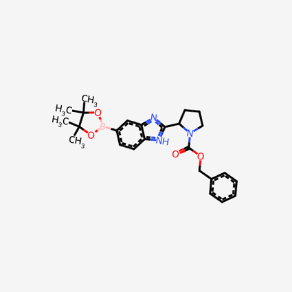 CC1(C)OB(c2ccc3[nH]c(C4CCCN4C(=O)OCc4ccccc4)nc3c2)OC1(C)C